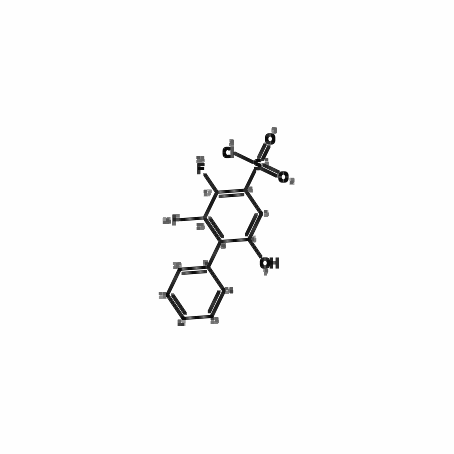 O=S(=O)(Cl)c1cc(O)c(-c2ccccc2)c(F)c1F